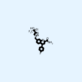 CC[C@](O)(c1cn(Cc2ccc3c(-c4ccc(F)cc4)cc(C(N)=O)nc3c2)nn1)C(F)(F)F